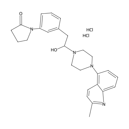 Cc1ccc2c(N3CCN(C(O)Cc4cccc(N5CCCC5=O)c4)CC3)cccc2n1.Cl.Cl